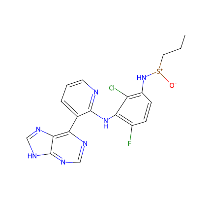 CCC[S+]([O-])Nc1ccc(F)c(Nc2ncccc2-c2ncnc3[nH]cnc23)c1Cl